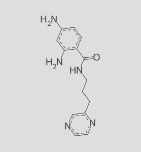 Nc1ccc(C(=O)NCCCc2cnccn2)c(N)c1